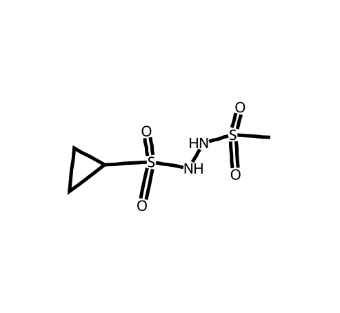 CS(=O)(=O)NNS(=O)(=O)C1CC1